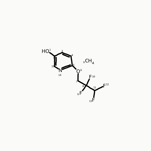 C.Oc1ccc(OCC(F)(F)C(F)F)nc1